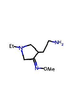 CCN1C/C(=N/OC)C(CCN)C1